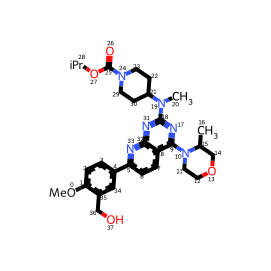 COc1ccc(-c2ccc3c(N4CCOCC4C)nc(N(C)C4CCN(C(=O)OC(C)C)CC4)nc3n2)cc1CO